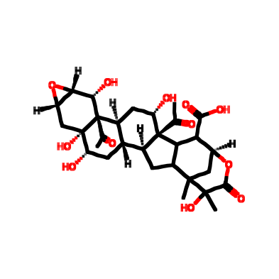 CC(=O)[C@@]12C3C(C(=O)O)[C@@H]4CC(C)(C3C[C@H]1[C@@H]1C[C@H](O)[C@@]3(O)C[C@@H]5O[C@@H]5[C@H](O)[C@]3(C(C)=O)[C@H]1C[C@@H]2O)C(C)(O)C(=O)O4